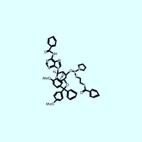 COc1ccc(C(OC2CC(OP(SCCSC(=O)c3ccccc3)N3CCCC3)C3OCC2O[C@H]3n2cnc3c(NC(=O)c4ccccc4)ncnc32)(c2ccccc2)c2ccc(OC)cc2)cc1